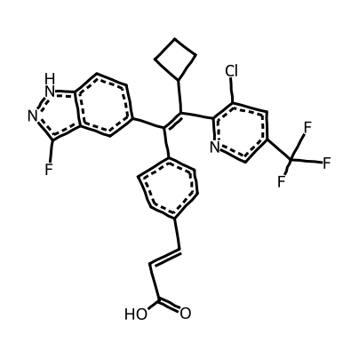 O=C(O)/C=C/c1ccc(/C(=C(\c2ncc(C(F)(F)F)cc2Cl)C2CCC2)c2ccc3[nH]nc(F)c3c2)cc1